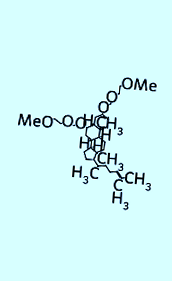 COCCOCO[C@@H]1CC[C@]2(C)[C@H]3CC[C@]4(C)[C@@H]([C@H](C)CCC=C(C)C)CC[C@H]4[C@@H]3C[C@H](OCOCCOC)[C@@H]2C1